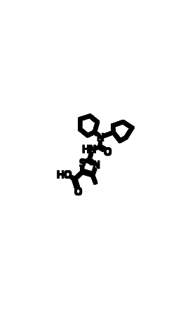 Cc1nc(NC(=O)N(C2CCCCC2)C2CCCCC2)sc1C(=O)O